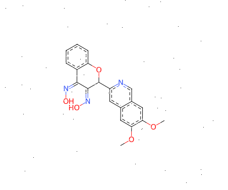 COc1cc2cnc(C3Oc4ccccc4C(=NO)C3=NO)cc2cc1OC